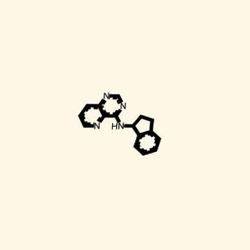 c1ccc2c(c1)CCC2Nc1ncnc2cccnc12